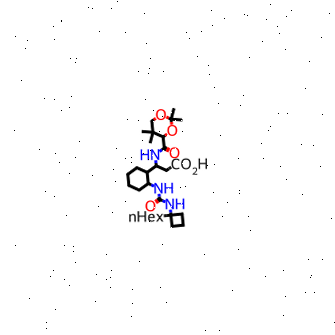 CCCCCCC1(NC(=O)NC2CCCCC2C(CC(=O)O)NC(=O)C2OC(C)(C)OCC2(C)C)CCC1